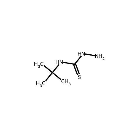 CC(C)(C)NC(=S)NN